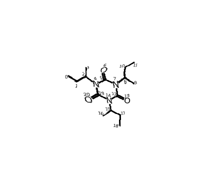 CCC(C)n1c(=O)n(C(C)CC)c(=O)n(C(C)CC)c1=O